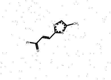 Cc1cnc(/C=C/C(=O)C(C)C)s1